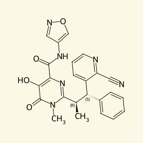 C[C@@H](c1nc(C(=O)Nc2cnoc2)c(O)c(=O)n1C)[C@@H](c1ccccc1)c1cccnc1C#N